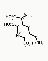 NCCCCC(N)C(=O)O.O=C(O)CNCC(=O)O